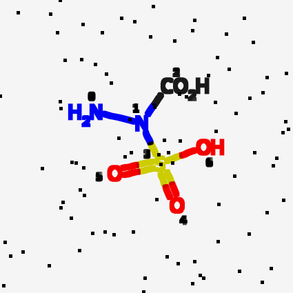 NN(C(=O)O)S(=O)(=O)O